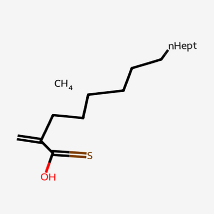 C.C=C(CCCCCCCCCCCCC)C(O)=S